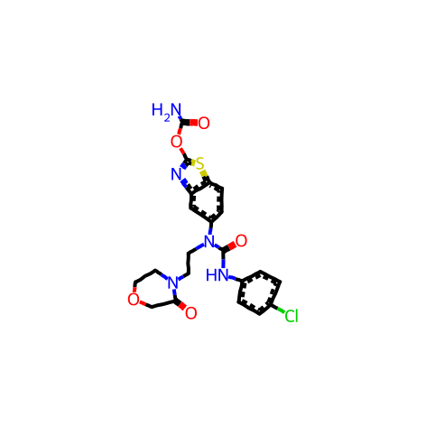 NC(=O)Oc1nc2cc(N(CCN3CCOCC3=O)C(=O)Nc3ccc(Cl)cc3)ccc2s1